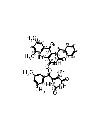 Cc1cc(C)cc(C(=O)c2[nH]c(=O)[nH]c(=O)c2C(C)C)c1.Cc1cc(C)cc(C(=O)c2c(C(C)C)c(=O)[nH]c(=O)n2Cc2ccccc2)c1